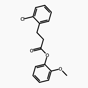 COc1ccccc1OC(=O)CCc1ccccc1Cl